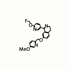 COc1ccc(COc2ccc3c(c2)C(c2ccc(OCF)nc2)=NCC3)nc1